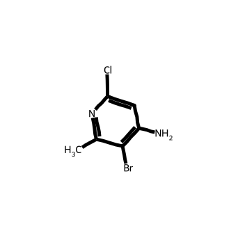 Cc1nc(Cl)cc(N)c1Br